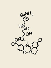 NS(=O)(=O)CCNC(=O)C[C@@H](O)[C@@H]1CC[C@H]1CN1C[C@@]2(CCCc3cc(Cl)ccc32)COc2ccc(C(=O)O)cc21